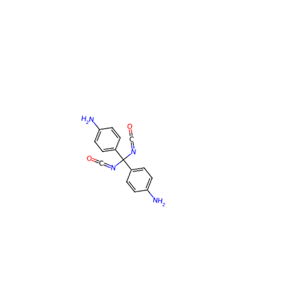 Nc1ccc(C(N=C=O)(N=C=O)c2ccc(N)cc2)cc1